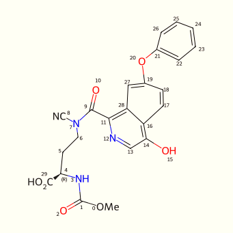 COC(=O)N[C@H](CCN(C#N)C(=O)c1ncc(O)c2ccc(Oc3ccccc3)cc12)C(=O)O